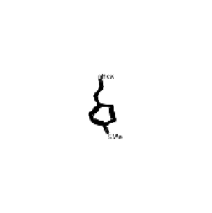 CCCCCCCCc1ccc(SC)cc1